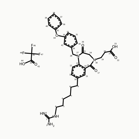 N=C(N)NCCCCCCc1ccc2c(c1)C(=O)N(CCC(=O)O)CC(=O)N2Cc1cccc(Oc2ccccc2)c1.O=C(O)C(F)(F)F